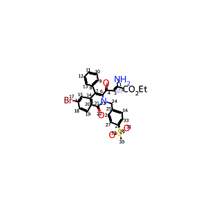 CCOC(=O)/C(N)=C/C(=O)c1c(-c2ccccc2)c2cc(Br)ccc2c(=O)n1Cc1ccc(S(C)(=O)=O)cc1